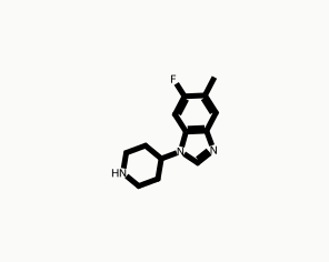 Cc1cc2ncn(C3CCNCC3)c2cc1F